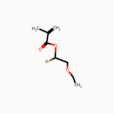 C=C(C)C(=O)OC(Br)COCC